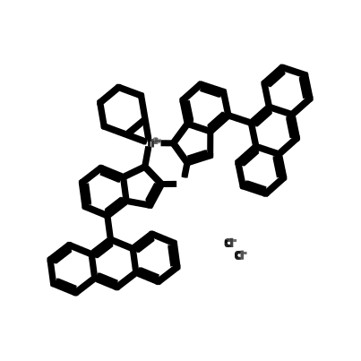 CC1=Cc2c(-c3c4ccccc4cc4ccccc34)cccc2[CH]1[Ti+2]1([CH]2C(C)=Cc3c(-c4c5ccccc5cc5ccccc45)cccc32)[CH]2CCCC[CH]21.[Cl-].[Cl-]